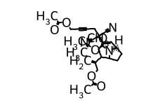 C=C(COC(C)=O)C1CC(C(C#N)(C#N)CC#CCOC(C)=O)=C[C@H]2CCC1N2C(=O)OC(C)(C)C